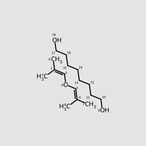 CC(C)=COC=C(C)C.OCCCCCCCCO